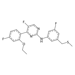 CCOc1cc(F)ccc1-c1nc(Nc2cc(F)cc(CSC)c2)ncc1F